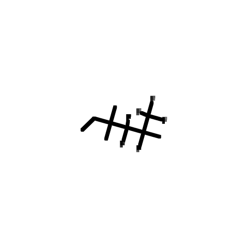 CCC(C)(C)C(F)(F)C(C)(F)C(F)(F)F